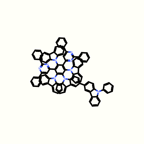 c1ccc(-c2cc(-c3c(-n4c5ccccc5c5ccccc54)c(-c4cc(-c5ccccc5)nc(-c5ccccc5)n4)c(-n4c5ccccc5c5ccccc54)c(-n4c5ccccc5c5cc(-c6ccc7c(c6)c6ccccc6n7-c6ccccc6)ccc54)c3-n3c4ccccc4c4ccccc43)nc(-c3ccccc3)n2)cc1